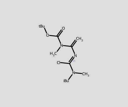 C=C(/N=C(\Cl)N(C)C(C)CC)N(C)C(=O)OC(C)(C)C